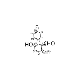 CC(C)c1ccc(O)c(-c2ccc(F)cc2)c1C=O